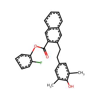 Cc1cc(CCc2cc3ccccc3cc2C(=O)Oc2ccccc2F)cc(C)c1O